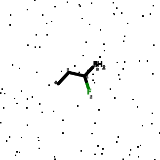 BC(F)CC